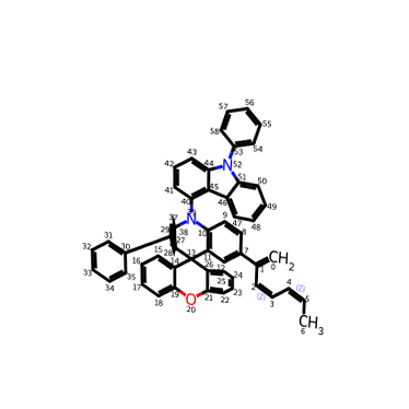 C=C(/C=C\C=C/C)c1ccc2c(c1)C1(c3ccccc3Oc3ccccc31)c1cc(-c3ccccc3)ccc1N2c1cccc2c1c1ccccc1n2-c1ccccc1